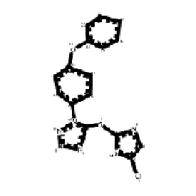 Clc1cnc(Sc2nnnn2-c2ccc(Oc3ccccc3)cc2)s1